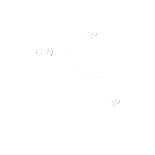 O=[N+]([O-])C(O)=CCO